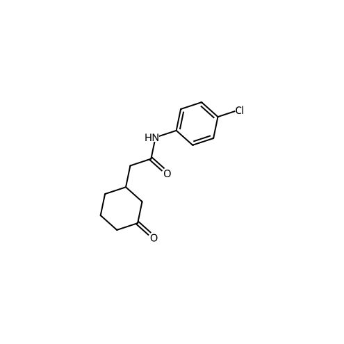 O=C1CCCC(CC(=O)Nc2ccc(Cl)cc2)C1